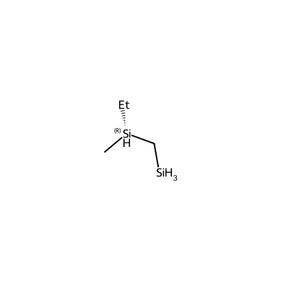 CC[Si@@H](C)C[SiH3]